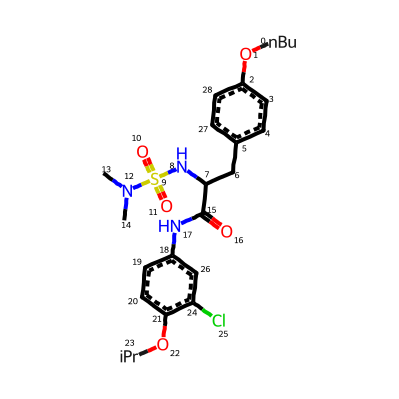 CCCCOc1ccc(CC(NS(=O)(=O)N(C)C)C(=O)Nc2ccc(OC(C)C)c(Cl)c2)cc1